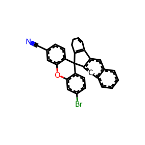 N#Cc1ccc2c(c1)Oc1cc(Br)ccc1C21C2=C(C=CCC2)c2cc3ccccc3cc21